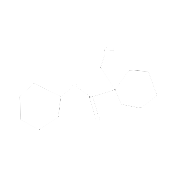 CCC1(C(=O)OC2CCCCC2)CCCCC1